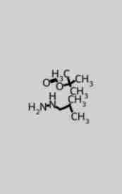 CC(C)(C)OC=O.CC(C)CNN